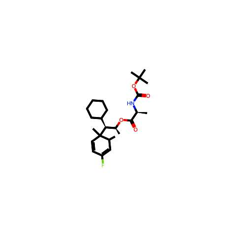 CC1C=C(F)C=CC1(C)[C@@H](C1CCCCC1)[C@H](C)OC(=O)[C@H](C)NC(=O)OC(C)(C)C